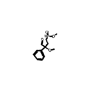 CO[PH](=O)CCC(C=O)(OC)c1ccccc1